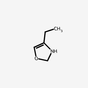 CCC1=COCN1